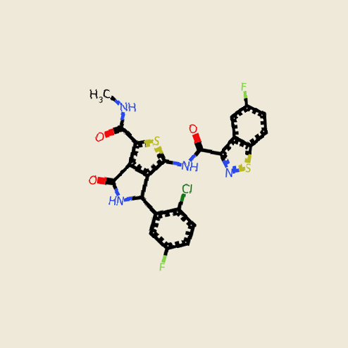 CNC(=O)c1sc(NC(=O)c2nsc3ccc(F)cc23)c2c1C(=O)NC2c1cc(F)ccc1Cl